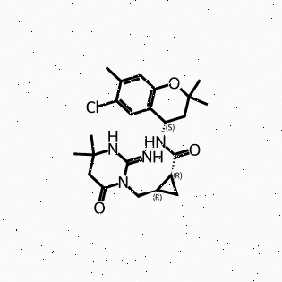 Cc1cc2c(cc1Cl)[C@@H](NC(=O)[C@@H]1C[C@H]1CN1C(=N)NC(C)(C)CC1=O)CC(C)(C)O2